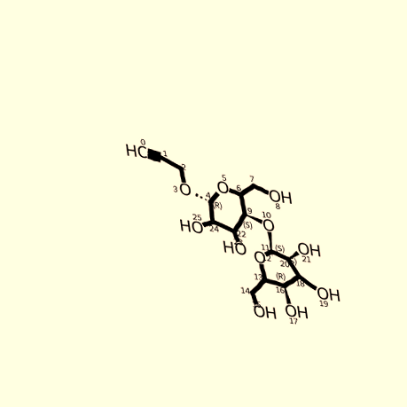 C#CCO[C@@H]1OC(CO)[C@@H](O[C@@H]2OC(CO)[C@H](O)C(O)[C@@H]2O)C(O)C1O